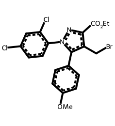 CCOC(=O)c1nn(-c2ccc(Cl)cc2Cl)c(-c2ccc(OC)cc2)c1CBr